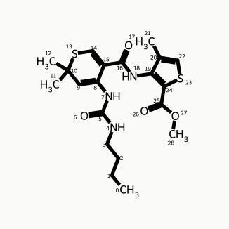 CCCCNC(=O)NC1=CC(C)(C)SC=C1C(=O)Nc1c(C)csc1C(=O)OC